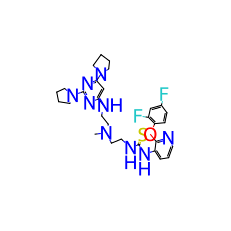 CN(CCNC(=S)Nc1cccnc1Oc1ccc(F)cc1F)CCNc1cc(N2CCCC2)nc(N2CCCC2)n1